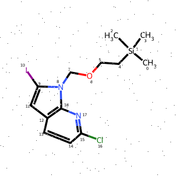 C[Si](C)(C)CCOCn1c(I)cc2ccc(Cl)nc21